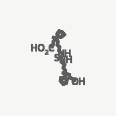 CC(CCCO)(CCCCNC(=S)NCCCCC(C)(CCC(=O)O)c1ccccc1)c1ccccc1